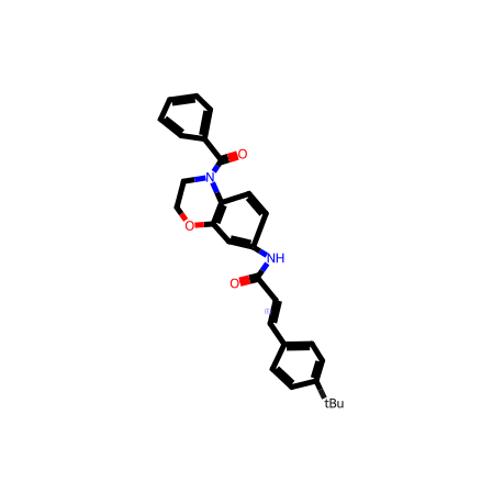 CC(C)(C)c1ccc(/C=C/C(=O)Nc2ccc3c(c2)OCCN3C(=O)c2ccccc2)cc1